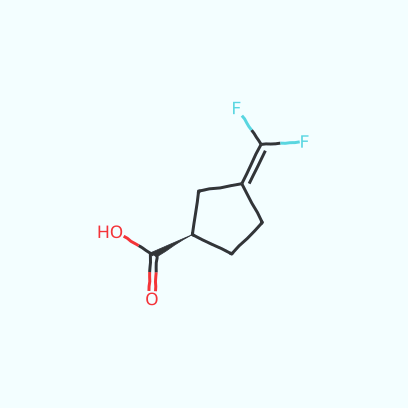 O=C(O)[C@@H]1CCC(=C(F)F)C1